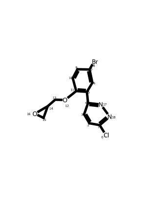 Clc1ccc(-c2cc(Br)ccc2OCC2CO2)nn1